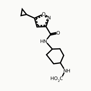 O=C(O)NC1CCC(NC(=O)c2cc(C3CC3)on2)CC1